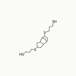 SCCCSC1CC2C3CC(SCCCS)C(C3)C2C1